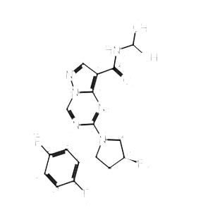 CC(C)NC(=O)c1cnn2cnc(N3C[C@@H](F)C[C@@H]3c3cc(F)ccc3F)nc12